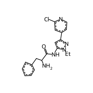 CCn1nc(-c2ccnc(Cl)c2)cc1NC(=O)C(N)Cc1ccccc1